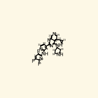 Fc1cc(F)c(Nc2cc(-c3nc(NC4CCNCC4)c4c(C5CC5)cncc4n3)ccn2)nc1F